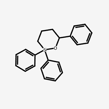 c1ccc(C2CCC[Si](c3ccccc3)(c3ccccc3)O2)cc1